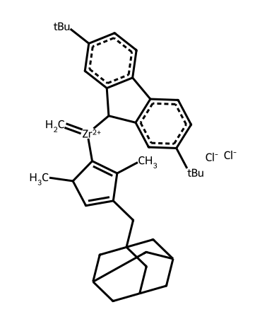 [CH2]=[Zr+2]([C]1=C(C)C(CC23CC4CC(CC(C4)C2)C3)=CC1C)[CH]1c2cc(C(C)(C)C)ccc2-c2ccc(C(C)(C)C)cc21.[Cl-].[Cl-]